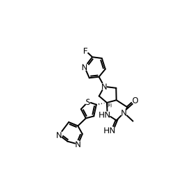 CN1C(=N)N[C@@]2(c3cc(-c4cncnc4)cs3)CN(c3ccc(F)nc3)CC2C1=O